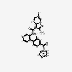 Nc1nn2cc(F)cnc2c1C(=O)Nc1cnccc1-c1ccc(C(=O)N2CCN3CCC2CC3)cc1F